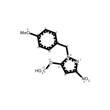 COc1ccc(Cn2nc([N+](=O)[O-])cc2OC(=O)O)cc1